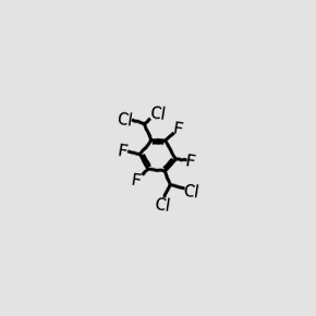 Fc1c(F)c(C(Cl)Cl)c(F)c(F)c1C(Cl)Cl